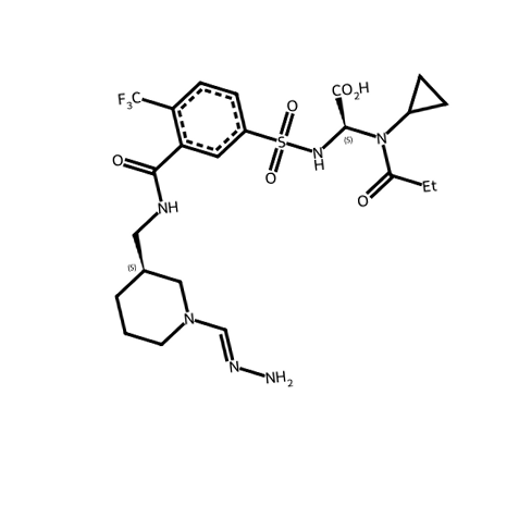 CCC(=O)N(C1CC1)[C@@H](NS(=O)(=O)c1ccc(C(F)(F)F)c(C(=O)NC[C@@H]2CCCN(C=NN)C2)c1)C(=O)O